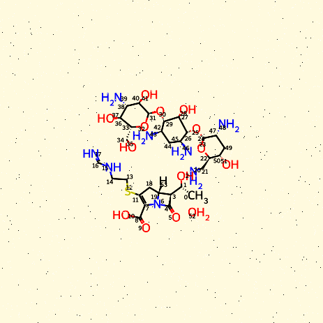 C[C@@H](O)[C@H]1C(=O)N2C(C(=O)O)=C(SCCNC=N)C[C@H]12.NC[C@H]1O[C@H](O[C@H]2[C@H](O)[C@@H](O[C@H]3O[C@H](CO)[C@@H](O)[C@H](N)[C@H]3O)[C@H](N)C[C@@H]2N)[C@H](N)C[C@@H]1O.O